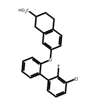 O=C(O)C1CCc2ccc(Oc3ccccc3-c3cccc(Cl)c3F)cc2C1